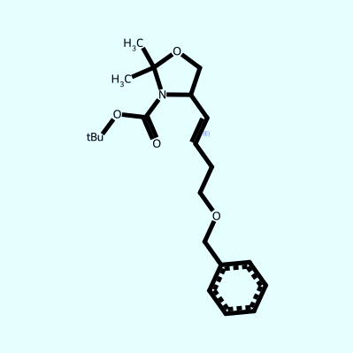 CC(C)(C)OC(=O)N1C(/C=C/CCOCc2ccccc2)COC1(C)C